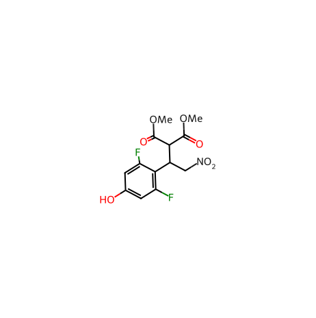 COC(=O)C(C(=O)OC)C(C[N+](=O)[O-])c1c(F)cc(O)cc1F